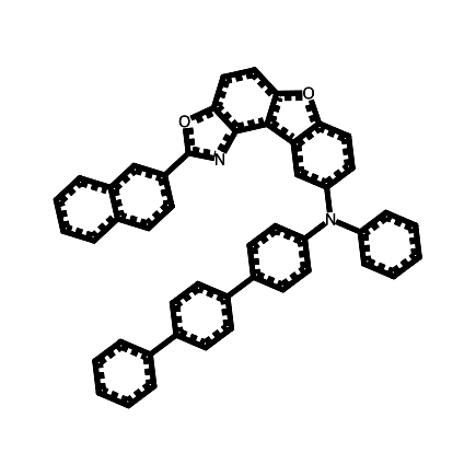 c1ccc(-c2ccc(-c3ccc(N(c4ccccc4)c4ccc5oc6ccc7oc(-c8ccc9ccccc9c8)nc7c6c5c4)cc3)cc2)cc1